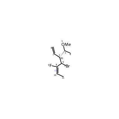 C=C[C@H](C(C)OC)C(Br)/C(F)=C\C